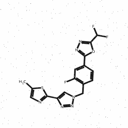 Cc1cnc(-c2cn(Cc3ccc(-c4nnc(C(F)F)o4)cc3F)nn2)s1